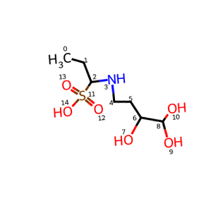 CCC(NCCC(O)C(O)O)S(=O)(=O)O